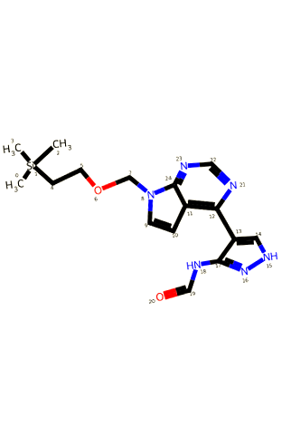 C[Si](C)(C)CCOCn1ccc2c(-c3c[nH]nc3NC=O)ncnc21